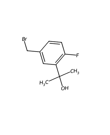 CC(C)(O)c1cc(CBr)ccc1F